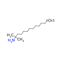 CCCCCCCCCCCCCCCCCCC(C)(C)N